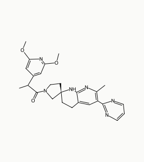 COc1cc(C(C)C(=O)N2CC[C@@]3(CCc4cc(-c5ncccn5)c(C)nc4N3)C2)cc(OC)n1